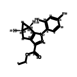 CCOC(=O)c1nn(-c2ccc(F)cc2F)c2c1C[C@H]1C[C@@H]21